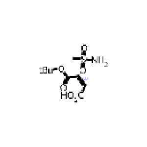 CC(C)(C)OC(=O)/C=C\C(=O)O.CS(N)(=O)=O